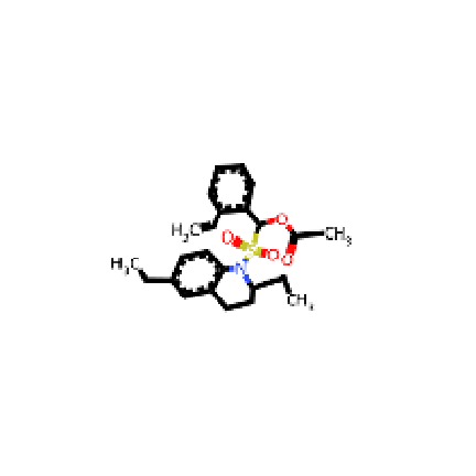 C=Cc1ccccc1C(OC(C)=O)S(=O)(=O)N1c2ccc(CC)cc2CCC1CC